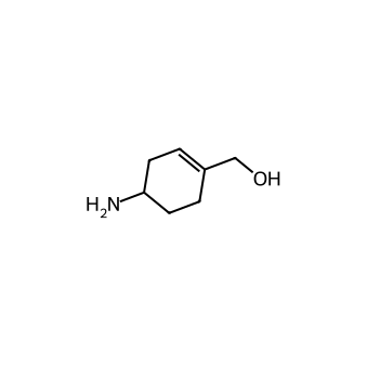 NC1CC=C(CO)CC1